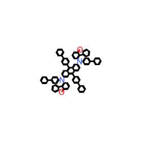 c1ccc(-c2ccc(-c3c4ccc(N(c5ccc(-c6ccccc6)cc5)c5cccc6oc7ccccc7c56)cc4c(-c4ccc(-c5ccccc5)cc4)c4ccc(N(c5ccc(-c6ccccc6)cc5)c5cccc6oc7ccccc7c56)cc34)cc2)cc1